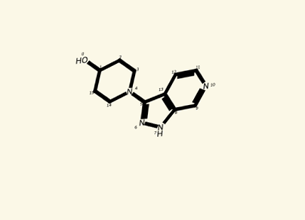 OC1CCN(c2n[nH]c3cnccc23)CC1